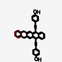 Oc1ccc(C#Cc2c3ccccc3c(C#Cc3ccc(O)cc3)c3cc4c(cc23)C2c3ccccc3C4c3ccccc32)cc1